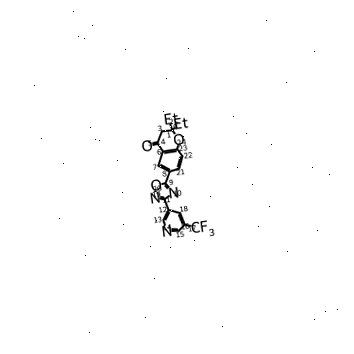 CCC1(CC)CC(=O)c2cc(-c3nc(-c4cncc(C(F)(F)F)c4)no3)ccc2O1